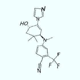 CN(c1ccc(C#N)c(C(F)(F)F)c1)[C@@H]1C=C(n2ccnc2)[C@@H](O)CC1(C)C